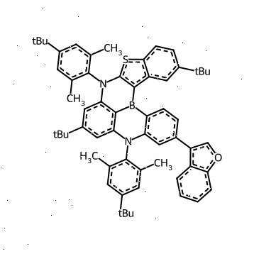 Cc1cc(C(C)(C)C)cc(C)c1N1c2cc(-c3coc4ccccc34)ccc2B2c3c1cc(C(C)(C)C)cc3N(c1c(C)cc(C(C)(C)C)cc1C)c1sc3ccc(C(C)(C)C)cc3c12